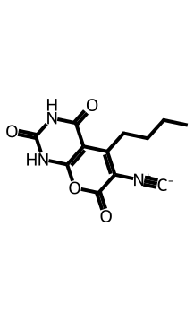 [C-]#[N+]c1c(CCCC)c2c(=O)[nH]c(=O)[nH]c2oc1=O